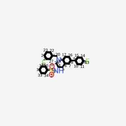 O=S(=O)(NC1Cc2cc(-c3ccc(F)cc3)ccc2N(Cc2cccc(F)c2)C1)c1ccccc1